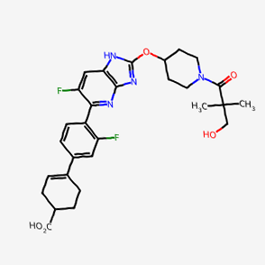 CC(C)(CO)C(=O)N1CCC(Oc2nc3nc(-c4ccc(C5=CCC(C(=O)O)CC5)cc4F)c(F)cc3[nH]2)CC1